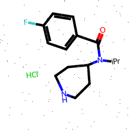 CC(C)N(C(=O)c1ccc(F)cc1)C1CCNCC1.Cl